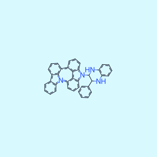 c1ccc(C2Nc3ccccc3NC2n2c3cccc4c5cccc6c7ccccc7n(c7cccc2c7c43)c56)cc1